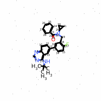 CC(C)(C)Nc1ncnc2ccc(-c3ccc(F)c(CN(C(=O)c4ccccc4)C4CC4)c3)cc12